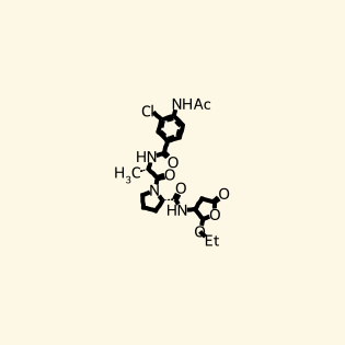 CCOC1OC(=O)CC1NC(=O)[C@@H]1CCCN1C(=O)[C@H](C)NC(=O)c1ccc(NC(C)=O)c(Cl)c1